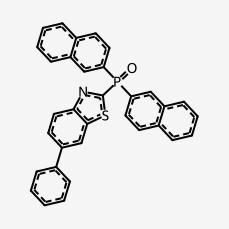 O=P(c1ccc2ccccc2c1)(c1ccc2ccccc2c1)c1nc2ccc(-c3ccccc3)cc2s1